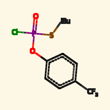 CCC(C)SP(=O)(Cl)Oc1ccc(C(F)(F)F)cc1